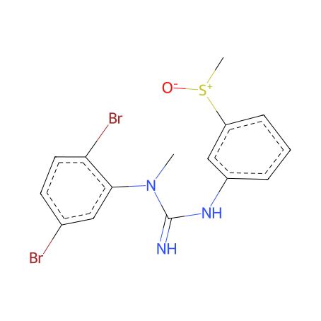 CN(C(=N)Nc1cccc([S+](C)[O-])c1)c1cc(Br)ccc1Br